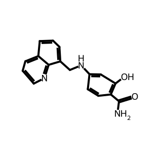 NC(=O)c1ccc(NCc2cccc3cccnc23)cc1O